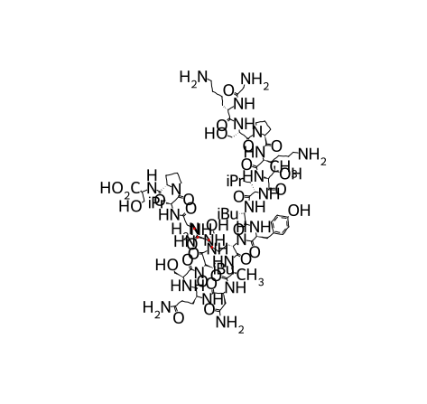 CC[C@H](C)[C@H](NC(=O)[C@H](CO)NC(=O)[C@H](CCC(N)=O)NC(=O)[C@H](CC(N)=O)NC(=O)[C@H](C)NC(=O)[C@H](CCCNC(=N)N)NC(=O)[C@H](Cc1ccc(O)cc1)NC(=O)[C@@H](NC(=O)[C@H](CC(C)C)NC(=O)[C@@H](NC(=O)[C@H](CCCCN)NC(=O)[C@@H]1CCCN1C(=O)[C@H](CO)NC(=O)[C@H](CCCCN)NC(=O)CN)[C@@H](C)O)[C@@H](C)CC)C(=O)N[C@@H](CO)C(=O)NCC(=O)N[C@H](C(=O)N1CCC[C@H]1C(=O)N[C@@H](CO)C(=O)O)C(C)C